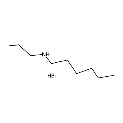 Br.CCCCCCNCCC